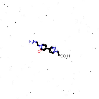 NCCn1ccc(-c2cc[n+](CCC(=O)O)nc2)cc1=O